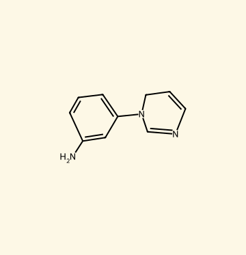 Nc1cccc(N2C=NC=CC2)c1